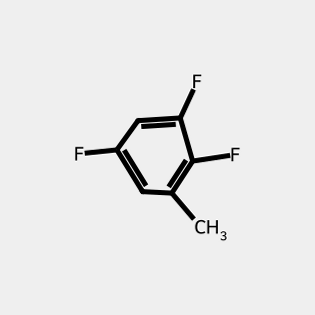 Cc1cc(F)cc(F)c1F